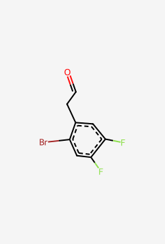 O=CCc1cc(F)c(F)cc1Br